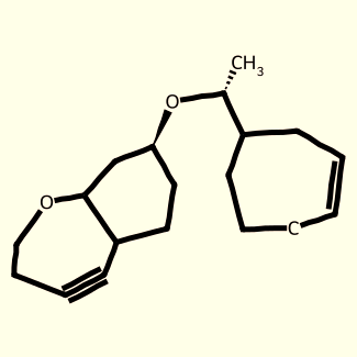 C[C@@H](O[C@H]1CCC2C#CCCOC2C1)C1CC=CCCC1